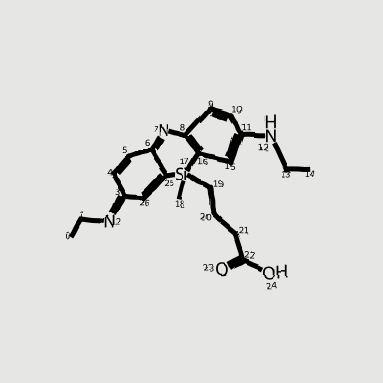 CC/N=C1\C=CC2=Nc3ccc(NCC)cc3[Si](C)(CCCC(=O)O)C2=C1